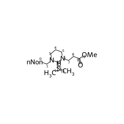 CCCCCCCCCCN1CCCN(CCC(=O)OC)C1[SiH](C)C